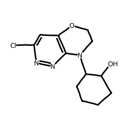 OC1CCCCC1N1CCOc2cc(Cl)nnc21